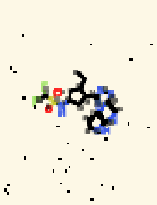 CCC1CC(NS(=O)(=O)C(F)F)CC1c1nnc2cnc3[nH]ccc3n12